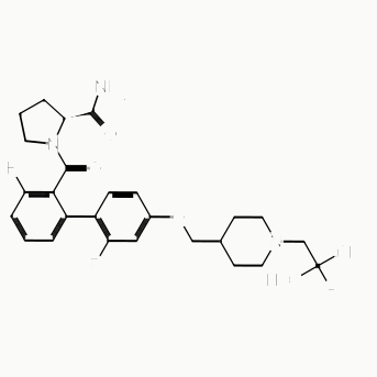 CC(C)(F)CN1CCC(COc2ccc(-c3cccc(F)c3C(=O)N3CCC[C@H]3C(N)=O)c(F)c2)CC1